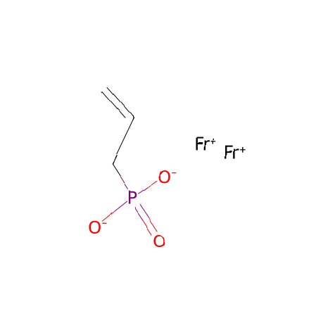 C=CCP(=O)([O-])[O-].[Fr+].[Fr+]